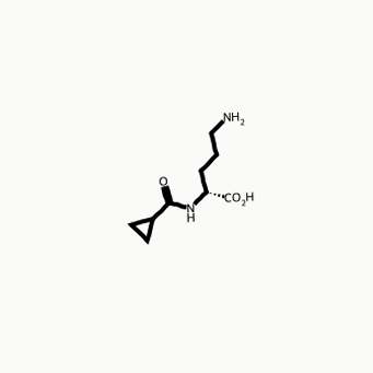 NCCC[C@@H](NC(=O)C1CC1)C(=O)O